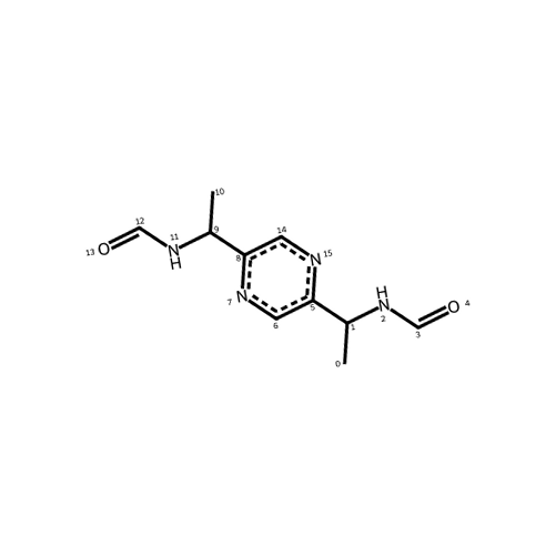 CC(NC=O)c1cnc(C(C)NC=O)cn1